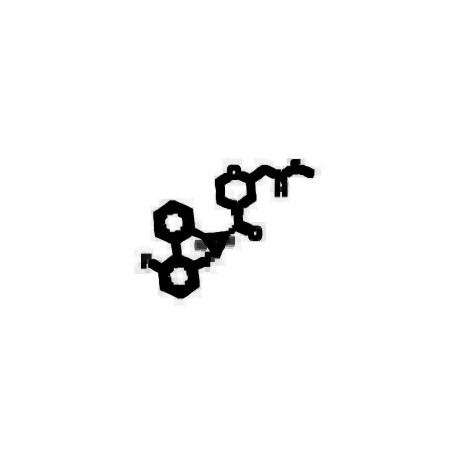 CSNCC1CN(C(=O)[C@@H]2C[C@H]2c2ccccc2-c2c(F)cccc2F)CCO1